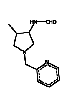 CC1CN(Cc2ccccn2)CC1NC=O